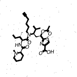 C#CCCCCN(C(=O)[C@@H](NC(=O)[C@H]1CCCCN1C)[C@@H](C)CC)[C@H](C[C@@H](OC(C)=O)c1nc(C(=O)O)cs1)C(C)C